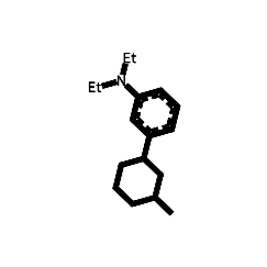 CCN(CC)c1cccc(C2CCCC(C)C2)c1